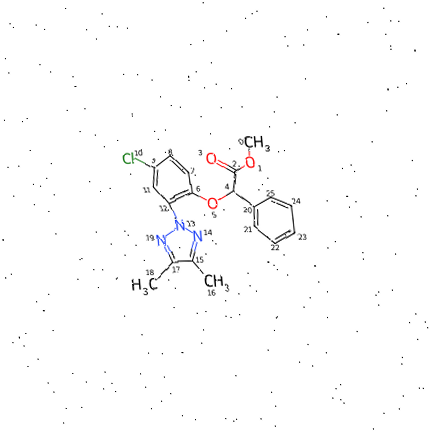 COC(=O)C(Oc1ccc(Cl)cc1-n1nc(C)c(C)n1)c1ccccc1